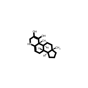 C[C@@]12CCC[C@H]1[C@@H]1CC=C3NCC(O)=C(O)[C@]3(C)[C@H]1CC2